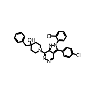 OC1(Cc2ccccc2)CCN(c2nncc3c(-c4ccc(Cl)cc4)n(-c4ccccc4Cl)nc23)CC1